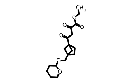 CCOC(=O)C(=O)CC(=O)C12CCC(COC3CCCCO3)(C1)C2